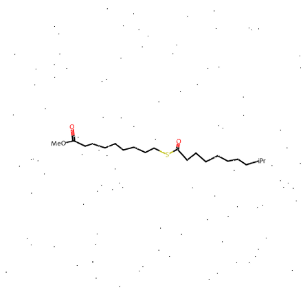 COC(=O)CCCCCCCCSC(=O)CCCCCCCC(C)C